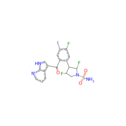 NS(=O)(=O)N1CC(F)C(c2cc(F)c(I)cc2C(=O)c2c[nH]c3ncccc23)C1F